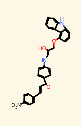 O=C(C=Cc1ccc([N+](=O)[O-])cc1)c1ccc(NCC(O)COc2cccc3[nH]c4ccccc4c23)cc1